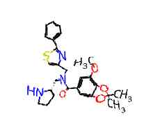 COc1cc(C(=O)N(Cc2csc(-c3ccccc3)n2)C[C@@H]2CCCN2)cc2c1OC(C)(C)O2